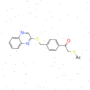 CC(=O)SCC(=O)c1ccc(CSc2cnc3ccccc3n2)cc1